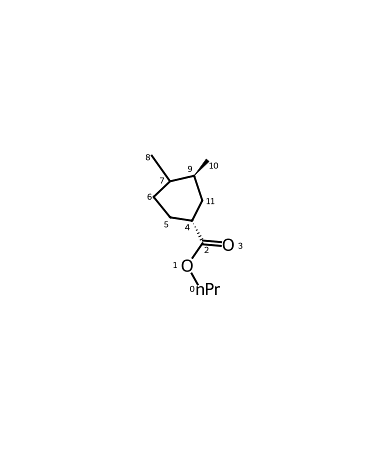 CCCOC(=O)[C@@H]1CCC(C)[C@@H](C)C1